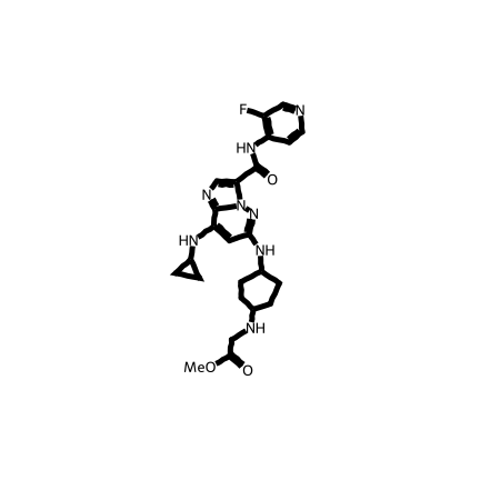 COC(=O)CNC1CCC(Nc2cc(NC3CC3)c3ncc(C(=O)Nc4ccncc4F)n3n2)CC1